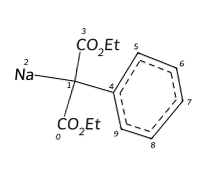 CCOC(=O)[C]([Na])(C(=O)OCC)c1ccccc1